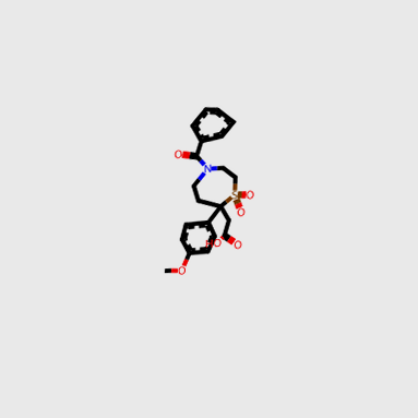 COc1ccc(C2(CC(=O)O)CCN(C(=O)c3ccccc3)CCS2(=O)=O)cc1